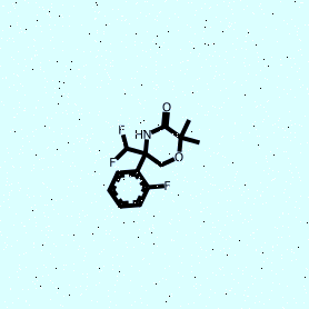 CC1(C)OCC(c2ccccc2F)(C(F)F)NC1=O